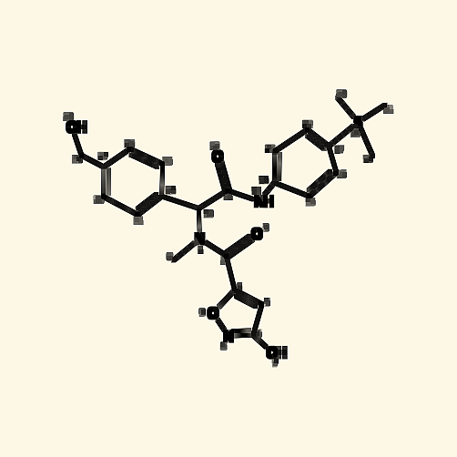 CN(C(=O)c1cc(O)no1)C(C(=O)Nc1ccc(S(C)(C)C)cc1)c1ccc(CO)cc1